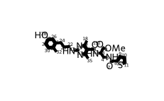 COC(=O)C(CNC(=O)c1cccs1)NC(=O)c1c(C)nc(NCCCc2cc(O)ccc2C)nc1C